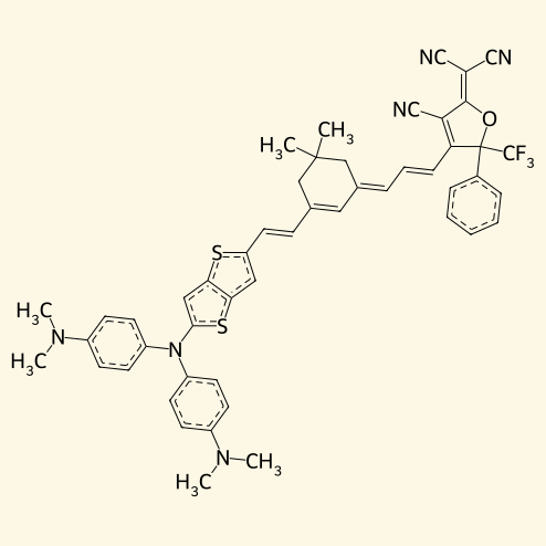 CN(C)c1ccc(N(c2ccc(N(C)C)cc2)c2cc3sc(/C=C/C4=CC(=C/C=C/C5=C(C#N)C(=C(C#N)C#N)OC5(c5ccccc5)C(F)(F)F)/CC(C)(C)C4)cc3s2)cc1